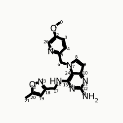 COc1ccc(Cn2ccc3nc(N)nc(NCc4cc(C)on4)c32)nc1